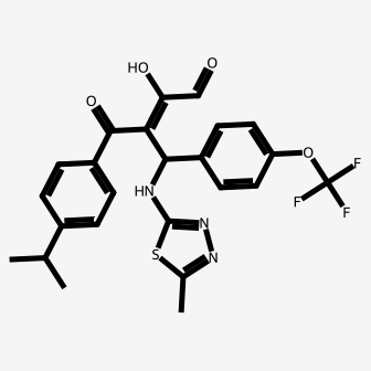 Cc1nnc(NC(/C(C(=O)c2ccc(C(C)C)cc2)=C(/O)C=O)c2ccc(OC(F)(F)F)cc2)s1